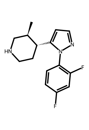 C[C@@H]1CNCC[C@H]1c1ccnn1-c1ccc(F)cc1F